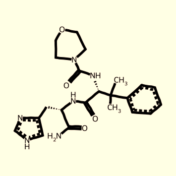 CC(C)(c1ccccc1)[C@@H](NC(=O)N1CCOCC1)C(=O)N[C@@H](Cc1c[nH]cn1)C(N)=O